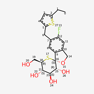 CCc1ccc(Cc2cc3c(cc2F)CO[C@]32S[C@H](CO)[C@@H](O)[C@H](O)[C@H]2O)s1